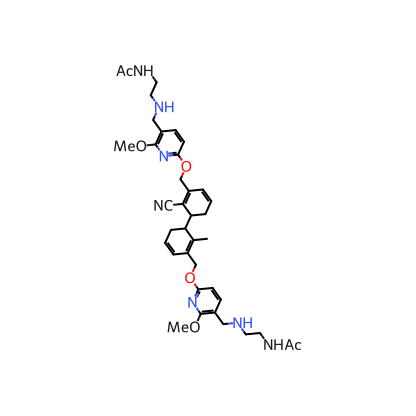 COc1nc(OCC2=C(C)C(C3CC=CC(COc4ccc(CNCCNC(C)=O)c(OC)n4)=C3C#N)CC=C2)ccc1CNCCNC(C)=O